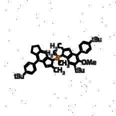 COc1c(C(C)(C)C)cc2c(c1-c1ccc(C(C)(C)C)cc1)C=C(C)C2S(C)(C)C1C(C)=Cc2c1cc1c(c2-c2ccc(C(C)(C)C)cc2)CCC1